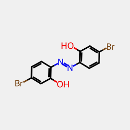 Oc1cc(Br)ccc1/N=N/c1ccc(Br)cc1O